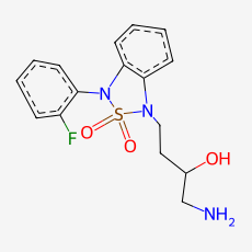 NCC(O)CCN1c2ccccc2N(c2ccccc2F)S1(=O)=O